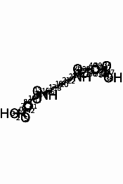 CC(C)(O)C(=O)c1ccc(COC(=O)NCCCCCCCCCNC(=O)OCc2ccc(C(=O)C(C)(C)O)cc2)cc1